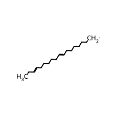 [CH2]CCCCCCC=CCCCCCC=CCC